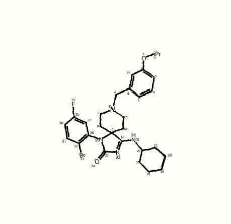 CC(C)Oc1cccc(CN2CCC3(CC2)C(NC2CCCCC2)=NC(=O)N3c2cc(F)ccc2Br)c1